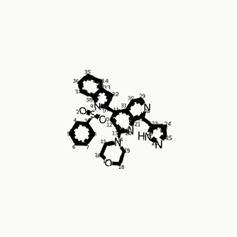 O=S(=O)(c1ccccc1)n1c(-c2cc(N3CCOCC3)nc3c(-c4ccn[nH]4)nccc23)cc2ccccc21